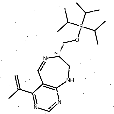 C=C(C)c1ncnc2c1C=N[C@H](CO[Si](C(C)C)(C(C)C)C(C)C)CN2